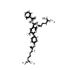 CC(C)CCCn1nc(NC(=O)c2cccnc2)c2cc(Cl)c(-c3ccc(OC(=O)NCCCN(C)C)cc3)nc21